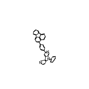 c1ccc(-n2c3ccncc3c3cc(-c4ccc(-c5ccc6c7c(cccc57)-c5ccccc5-6)cc4)ncc32)cc1